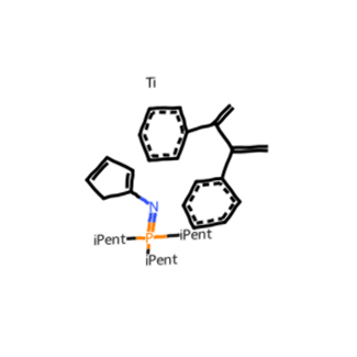 C=C(C(=C)c1ccccc1)c1ccccc1.CCCC(C)P(=NC1=CC=CC1)(C(C)CCC)C(C)CCC.[Ti]